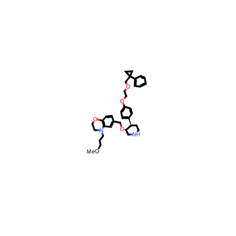 COCCCN1CCOc2ccc(CO[C@H]3CNCC[C@@H]3c3ccc(OCCOCC4(c5ccccc5)CC4)cc3)cc21